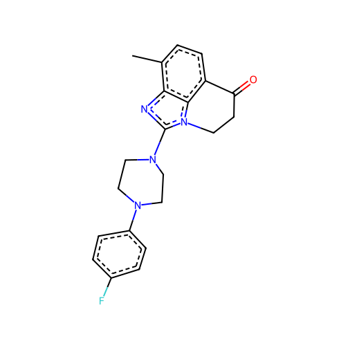 Cc1ccc2c3c1nc(N1CCN(c4ccc(F)cc4)CC1)n3CCC2=O